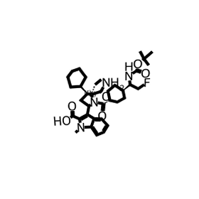 CC[C@@]1(C(N)=O)[C@H](C2CCCCC2)CC(c2c(C(=O)O)n(C)c3ccccc23)N1C(=O)[C@H]1CC[C@H](C(CF)NC(=O)OC(C)(C)C)CC1